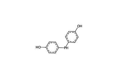 Oc1ccc(Pc2ccc(O)cc2)cc1